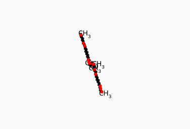 CCC=CCC=CCC=CCC=CCC=CCC=CCCC(=O)N1C[C@@H](C)N(C(=O)CCCC=CCC=CCC=CCC=CCC=CCC)[C@@H](C)C1